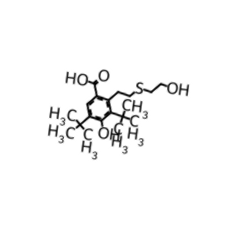 CC(C)(C)c1cc(C(=O)O)c(CCSCCO)c(C(C)(C)C)c1O